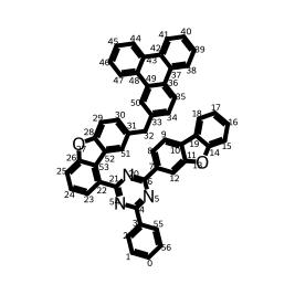 c1ccc(-c2nc(-c3ccc4c(c3)oc3ccccc34)nc(-c3cccc4oc5ccc(Cc6ccc7c8ccccc8c8ccccc8c7c6)cc5c34)n2)cc1